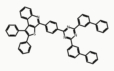 c1ccc(-c2cccc(-c3nc(-c4ccc(-c5nc6ccccc6c6c(-c7ccccc7)c(-c7ccccc7)sc56)cc4)nc(-c4cccc(-c5ccccc5)c4)n3)c2)cc1